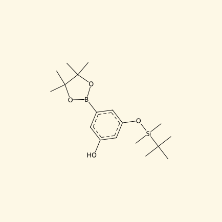 CC1(C)OB(c2cc(O)cc(O[Si](C)(C)C(C)(C)C)c2)OC1(C)C